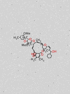 C=C1C(C)=CC2C(=O)OC3CC(/C=C\[C@H](C)C(O)C4CCCCC4)O[C@H](C/C=C(\C)[C@@H](OC4C[C@H](OC)C(O[C@@H]5CC(C)CC(OC)C5)[C@H](C)O4)[C@@H](C)/C=C/C=C4\CO[C@H]1[C@@]42O)C3